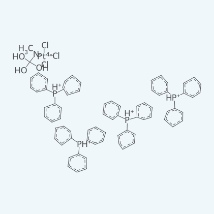 C[N](C(O)(O)O)[Pt-4]([Cl])([Cl])[Cl].c1ccc([PH+](c2ccccc2)c2ccccc2)cc1.c1ccc([PH+](c2ccccc2)c2ccccc2)cc1.c1ccc([PH+](c2ccccc2)c2ccccc2)cc1.c1ccc([PH+](c2ccccc2)c2ccccc2)cc1